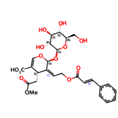 COC(=O)C[C@@H]1C(C(=O)O)=CO[C@@H](O[C@@H]2O[C@H](CO)[C@@H](O)[C@H](O)[C@H]2O)/C1=C\COC(=O)/C=C/c1ccccc1